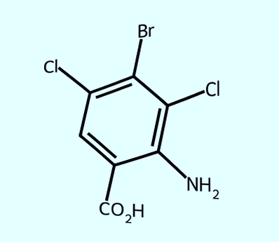 Nc1c(C(=O)O)cc(Cl)c(Br)c1Cl